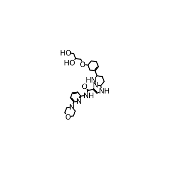 O=C(Nc1cccc(N2CCOCC2)n1)C1=CNC2CCC(C3=CCCC(OCC(O)CO)C3)NN12